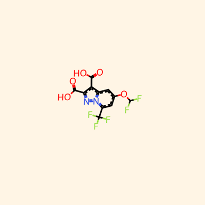 O=C(O)c1nn2c(C(F)(F)F)cc(OC(F)F)cc2c1C(=O)O